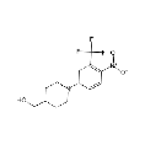 O=[N+]([O-])c1ccc(N2CCC(CO)CC2)cc1C(F)(F)F